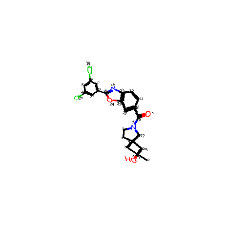 CC1(O)CC2(CCN(C(=O)c3ccc4nc(-c5cc(Cl)cc(Cl)c5)oc4c3)C2)C1